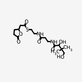 CC(C)(CO)C(O)C(=O)NCCC(=O)NCCSC(=O)CC1CCC(=O)O1